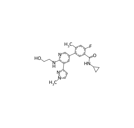 Cc1cc(F)c(C(=O)NC2CC2)cc1-c1cnc(NCCO)c(-c2ccn(C)n2)c1